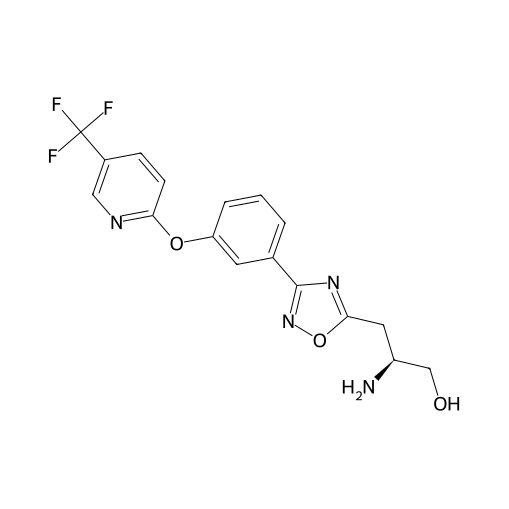 N[C@H](CO)Cc1nc(-c2cccc(Oc3ccc(C(F)(F)F)cn3)c2)no1